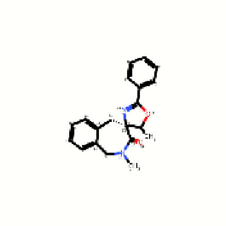 CC1OC(c2ccccc2)=N[C@@]12Cc1ccccc1CN(C)C2=O